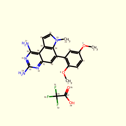 COc1ccc(OC)c(-c2cc3nc(N)nc(N)c3c3ccn(C)c23)c1.O=C(O)C(F)(F)F